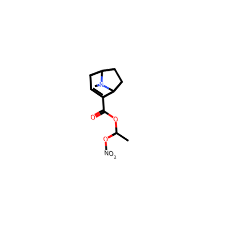 CC(OC(=O)C1=CCC2CCC1N2C)O[N+](=O)[O-]